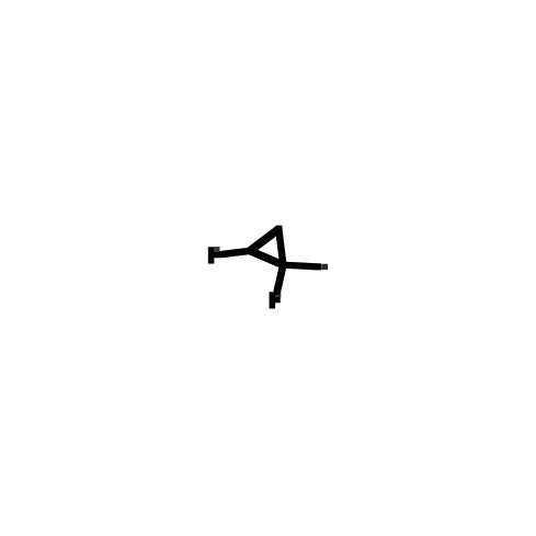 [CH2]C1(F)CC1F